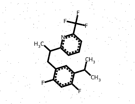 CC(C)c1cc(CC(C)c2cccc(C(F)(F)F)n2)c(F)cc1F